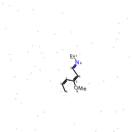 C\C=C/C(=C\C=N\CC)OC